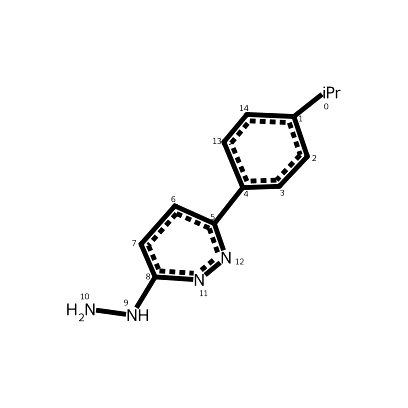 CC(C)c1ccc(-c2ccc(NN)nn2)cc1